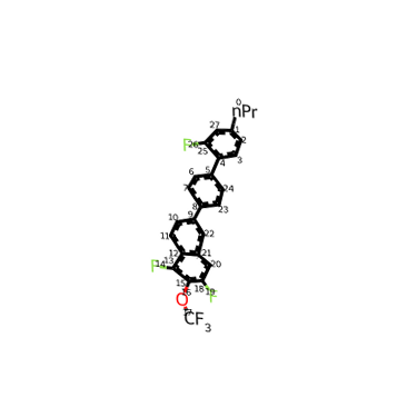 CCCc1ccc(-c2ccc(-c3ccc4c(F)c(OC(F)(F)F)c(F)cc4c3)cc2)c(F)c1